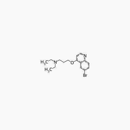 CCN(CC)CCCOc1ccnc2ccc(Br)cc12